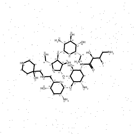 NC[C@@H](F)[C@H](O)C(=O)N[C@@H]1C[C@H](N)[C@@H](O[C@H]2O[C@H](CNCC3(O)CCNCC3)[C@@H](O)C[C@H]2N)[C@H](O[C@@H]2O[C@H](CO)[C@@H](O[C@H]3O[C@@H](CN)[C@@H](O)[C@H](O)[C@H]3N)[C@H]2O)[C@H]1O